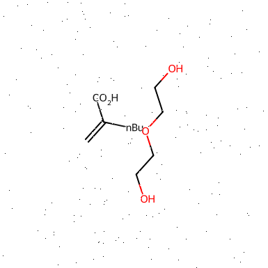 C=C(CCCC)C(=O)O.OCCOCCO